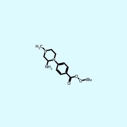 CN1CCN(c2ccc(C(=O)OOC(C)(C)C)cc2)C(N)C1